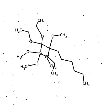 CCCCCCC(OC)(OCC)C(OCC)(OCC)[Si](OC)(OC)OC